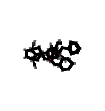 O=C([C@@H](O)Cc1ccccc1)N(CCN1[C@@H]2CC[C@H]1C[C@@H](c1cccc(O)c1)C2)CC1CCCCC1